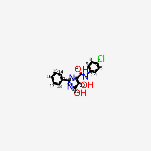 O=C(Nc1ccc(Cl)cc1)c1nc(-c2ccccc2)nc(O)c1O